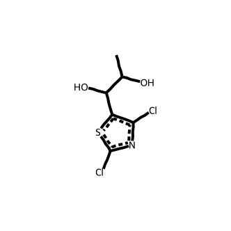 CC(O)C(O)c1sc(Cl)nc1Cl